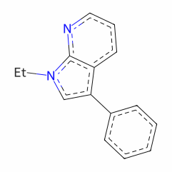 CCn1cc(-c2ccccc2)c2cccnc21